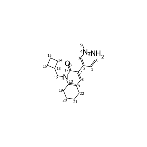 C=C/C(=C\N(C)N)c1cc2c(n(CC3CCC3)c1=O)CCCC2